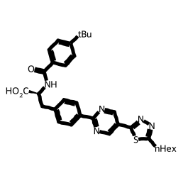 CCCCCCc1nnc(-c2cnc(-c3ccc(C[C@H](NC(=O)c4ccc(C(C)(C)C)cc4)C(=O)O)cc3)nc2)s1